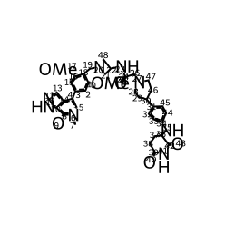 COc1cc(-c2cn(C)c(=O)c3[nH]ncc23)cc(OC)c1CN1CC(NC(=O)CN2CCC(c3ccc(NC4CCC(=O)NC4=O)cc3)CC2)C1